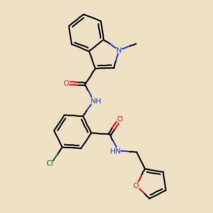 Cn1cc(C(=O)Nc2ccc(Cl)cc2C(=O)NCc2ccco2)c2ccccc21